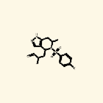 CC(C=O)CC1c2cn[nH]c2CC(C)N1S(=O)(=O)c1ccc(Cl)cc1